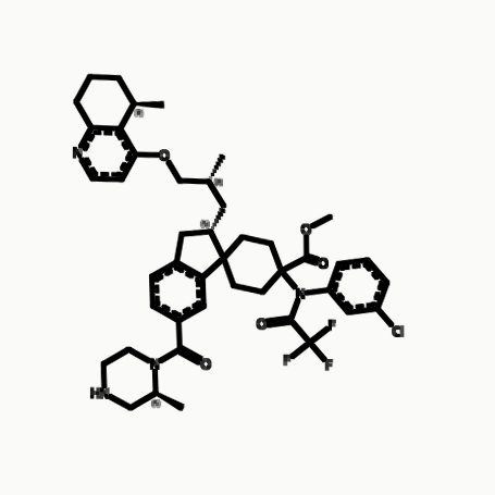 COC(=O)C1(N(C(=O)C(F)(F)F)c2cccc(Cl)c2)CCC2(CC1)c1cc(C(=O)N3CCNC[C@@H]3C)ccc1C[C@@H]2C[C@@H](C)COc1ccnc2c1[C@H](C)CCC2